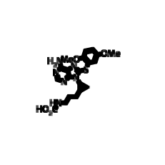 COc1ccc(OC)c(Sc2nc3c(N)ncnc3n2C2CC2CCCNC(=O)O)c1